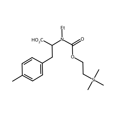 CCN(C(=O)OCC[Si](C)(C)C)C(Cc1ccc(C)cc1)C(=O)O